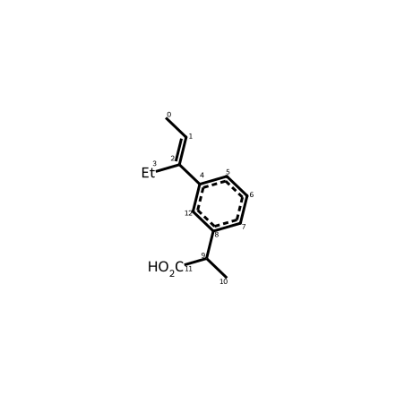 C/C=C(\CC)c1cccc(C(C)C(=O)O)c1